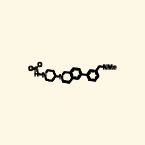 CNCc1cccc(-c2ccc3c(c2)C=CN(C2CCN(C[SH](=O)=O)CC2)C3)c1